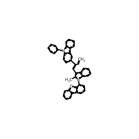 C=C/C(=C\c1c(C)n(-c2cccc3c2oc2ccccc23)c2ccccc12)c1ccc2c(c1)c1ccccc1n2-c1ccccc1